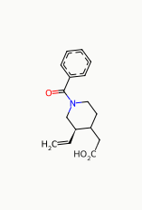 C=C[C@H]1CN(C(=O)c2ccccc2)CCC1CC(=O)O